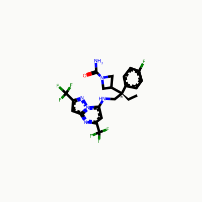 CC[C@](CNc1cc(C(F)(F)F)nc2cc(C(F)(F)F)nn12)(c1ccc(F)cc1)C1CN(C(N)=O)C1